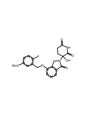 COc1ccc(F)c(COc2cccc3c2CN(C2(O)CCC(=O)NC2=O)C3=O)c1